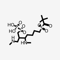 CNCC(CS(=O)(=O)P(=O)(O)O)C(CCCCS(=O)(=O)C(=O)C(C)(C)C)NC